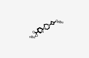 CCCCOC(=O)c1ccc(N2CCN(C3CC(OCCCC)C3)CC2)nc1